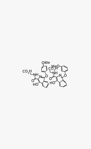 COc1ccc(Oc2nc(C(=O)NCC(=O)O)c(O)c3ccccc23)cc1.COc1cccc(Oc2nc(C(=O)NCC(=O)O)c(O)c3ccccc23)c1